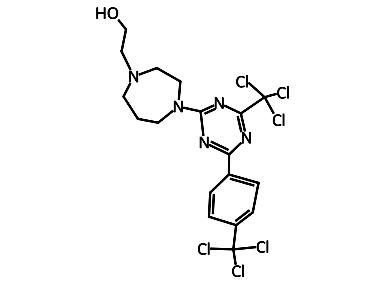 OCCN1CCCN(c2nc(-c3ccc(C(Cl)(Cl)Cl)cc3)nc(C(Cl)(Cl)Cl)n2)CC1